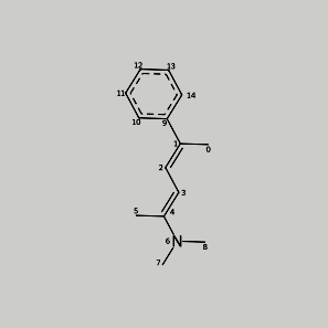 C/C(=C\C=C(/C)N(C)C)c1ccccc1